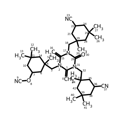 C=C1N(CC2(C)CC(OC#N)CC(C)(C)C2)C(=C)N(CC2(C)CC(C#N)CC(C)(C)C2)C(=O)N1CC1(C)CC(C#N)CC(C)(C)C1